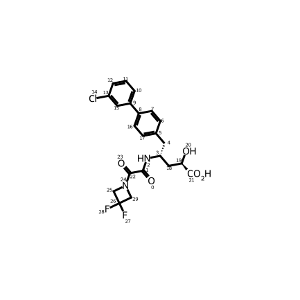 O=C(N[C@H](Cc1ccc(-c2cccc(Cl)c2)cc1)C[C@@H](O)C(=O)O)C(=O)N1CC(F)(F)C1